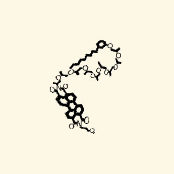 CCCCCCCCCc1cccc(OCC(C)OCC(C)OCC(C)OCC(C)OCC(C)OCC(C)OCC(C)OCC(C)OCC(C)N2C(=O)c3ccc4c5ccc6c7c(ccc(c8ccc(c3c48)C2=O)c75)C(=O)N(CCCOC)C6=O)c1